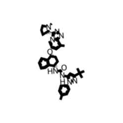 Cc1ccc(-n2nc(C(C)(C)C)cc2NC(=O)N[C@H]2CC[C@@H](Oc3cc(C)c4nnc([C@@H]5CCCN5C)n4c3)c3ccccc32)cc1